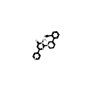 Cn1c(N2CCC=C(c3ccccc3C#N)C2)nc(-c2ccncc2)cc1=O